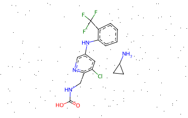 NC1CC1.O=C(O)NCc1ncc(Nc2ccccc2C(F)(F)F)cc1Cl